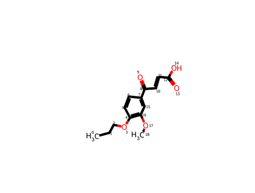 CCCOc1ccc(C(=O)C=CC(=O)O)cc1OC